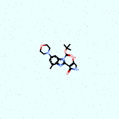 Cc1cc(N2CCOCC2)cc2c1nc(C1=C(O)CNC1=O)n2C(=O)OC(C)(C)C